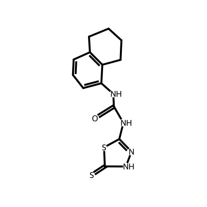 O=C(Nc1n[nH]c(=S)s1)Nc1cccc2c1CCCC2